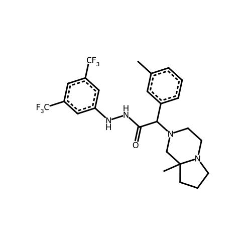 Cc1cccc(C(C(=O)NNc2cc(C(F)(F)F)cc(C(F)(F)F)c2)N2CCN3CCCC3(C)C2)c1